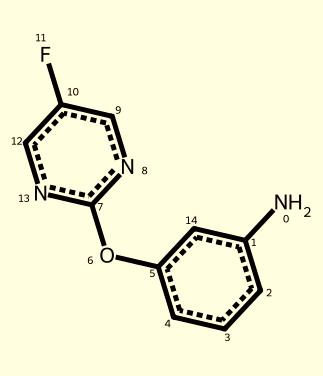 Nc1cccc(Oc2ncc(F)cn2)c1